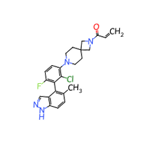 C=CC(=O)N1CC2(CCN(c3ccc(F)c(-c4c(C)ccc5[nH]ncc45)c3Cl)CC2)C1